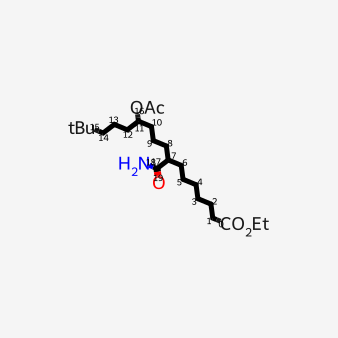 CCOC(=O)CCCCCCC(CCCC(CCCC(C)(C)C)OC(C)=O)C(N)=O